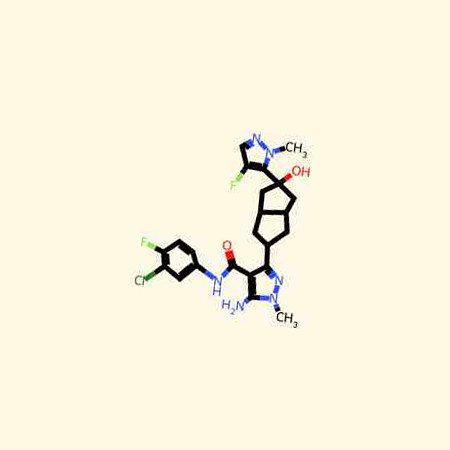 Cn1nc(C2CC3CC(O)(c4c(F)cnn4C)CC3C2)c(C(=O)Nc2ccc(F)c(Cl)c2)c1N